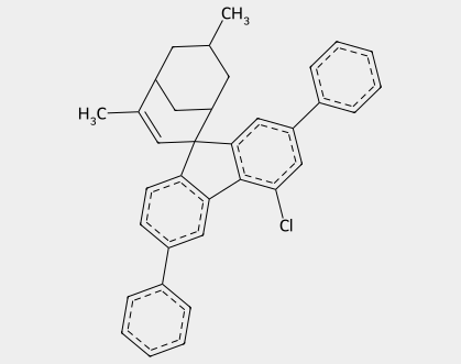 CC1=CC2(c3ccc(-c4ccccc4)cc3-c3c(Cl)cc(-c4ccccc4)cc32)C2CC(C)CC1C2